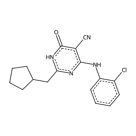 N#Cc1c(Nc2ccccc2Cl)nc(CC2CCCC2)[nH]c1=O